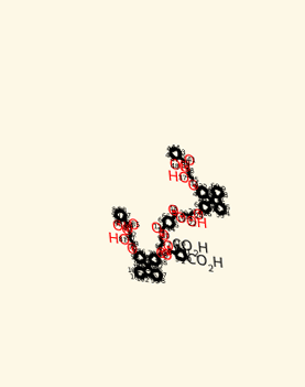 O=C(O)c1ccc(C(=O)OC(COC(=O)C2CCC(C(=O)OCC(O)COc3ccc(C4(c5ccc(OCC(O)COC(=O)c6ccccc6O)cc5)c5ccccc5-c5ccccc54)cc3)CC2)COc2ccc(C3(c4ccc(OCC(O)COC(=O)c5ccccc5O)cc4)c4ccccc4-c4ccccc43)cc2)c(C(=O)O)c1